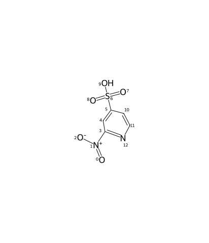 O=[N+]([O-])c1cc(S(=O)(=O)O)ccn1